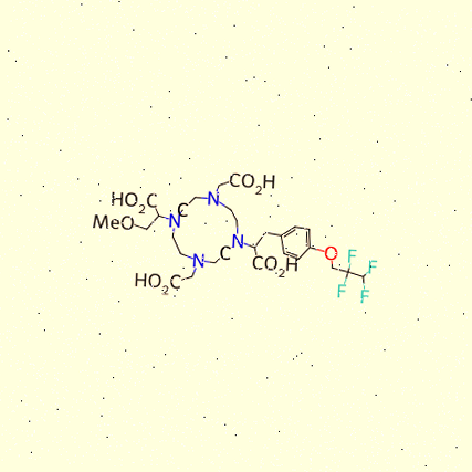 COCC(C(=O)O)N1CCN(CC(=O)O)CCN(C(Cc2ccc(OCC(F)(F)C(F)F)cc2)C(=O)O)CCN(CC(=O)O)CC1